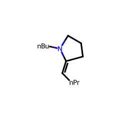 CCC/C=C1\CCCN1CCCC